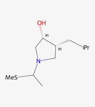 CSC(C)N1C[C@@H](CC(C)C)[C@@H](O)C1